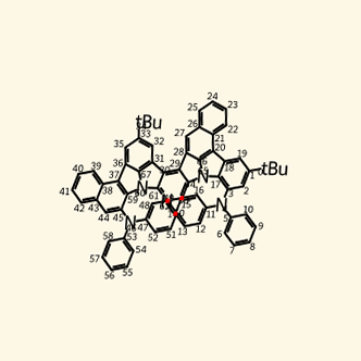 CC(C)(C)c1cc(N(c2ccccc2)c2ccccc2)c2c(c1)c1c3ccccc3cc3c4c5c6cc(C(C)(C)C)cc7c8c9ccccc9cc(N(c9ccccc9)c9ccccc9)c8n(c5ncc4n2c31)c67